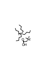 CCCC[PH](CCCC)(CCCC)CCCC.C[N+](C)(C)CC(=O)O